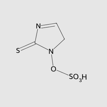 O=S(=O)(O)ON1CC=NC1=S